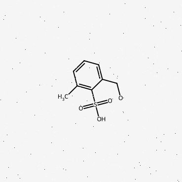 Cc1cccc(C[O])c1S(=O)(=O)O